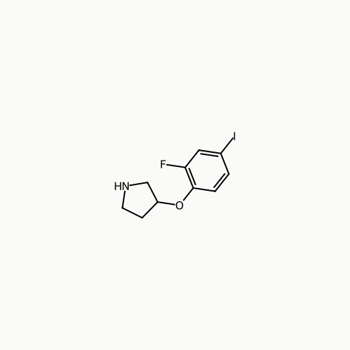 Fc1cc(I)ccc1OC1CCNC1